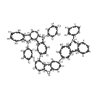 c1ccc(-n2c3ccccc3c3cc(-c4ccc5oc6cccc(-c7ccc8c(c7)c7c(ccc9c%10ccccc%10n(-c%10ccccc%10)c97)n8-c7ccccc7)c6c5c4)ccc32)cc1